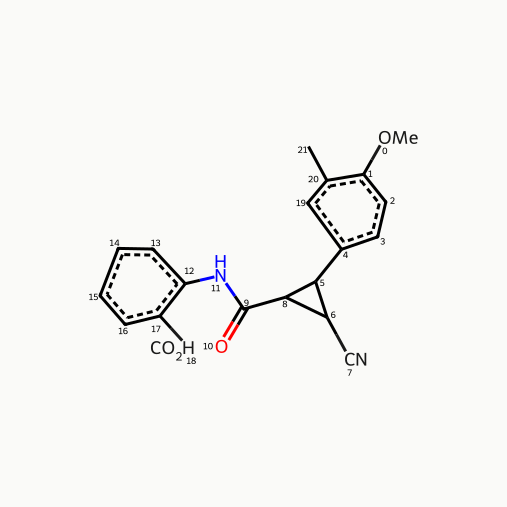 COc1ccc(C2C(C#N)C2C(=O)Nc2ccccc2C(=O)O)cc1C